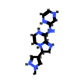 Cn1cc(C2CN=C3C(Nc4cnccn4)=NC=CN32)cn1